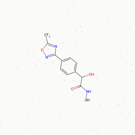 CCCNC(=O)C(O)c1ccc(-c2noc(C(F)(F)F)n2)cc1